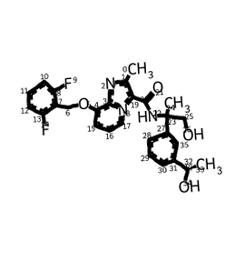 Cc1nc2c(OCc3c(F)cccc3F)cccn2c1C(=O)NC(C)(CO)c1cccc([C@@H](C)O)c1